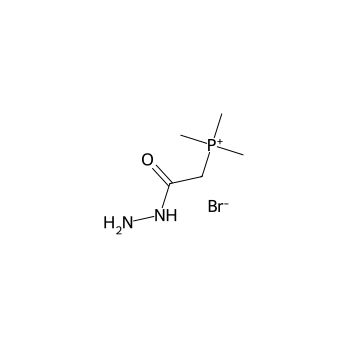 C[P+](C)(C)CC(=O)NN.[Br-]